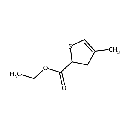 CCOC(=O)[C]1CC(C)=CS1